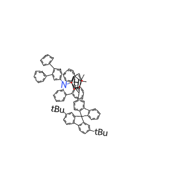 CC(C)(C)c1ccc2c(c1)C1(c3ccccc3-c3cc(C4=C5C=CC=C(N(c6ccc(-c7ccccc7)c(-c7ccccc7)c6)c6ccccc6-c6cccc7c6-c6ccccc6C7(C)C)[C@@H]54)ccc31)c1cc(C(C)(C)C)ccc1-2